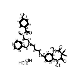 CCN1C(=O)C(C)(C)C(=O)N(C)c2cc(OCCCN(CCN(C)C(=O)c3ccc(C(F)(F)F)cc3)Cc3ccncc3)ccc21.Cl.Cl